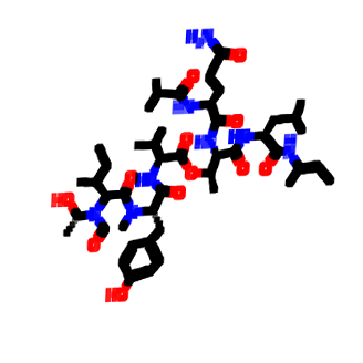 C/C=C(\C)NC(=O)[C@H](CC(C)C)NC(=O)[C@@H](NC(=O)[C@H](CCC(N)=O)NC(=O)C(C)C)[C@@H](C)OC(=O)[C@@H](NC(=O)[C@H](Cc1ccc(O)cc1)N(C)C(=O)[C@H](C(C)CC)N(C=O)[C@H](C)O)C(C)C